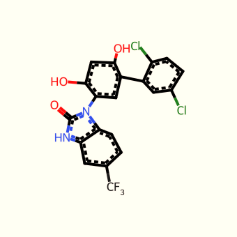 O=c1[nH]c2cc(C(F)(F)F)ccc2n1-c1cc(-c2cc(Cl)ccc2Cl)c(O)cc1O